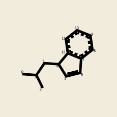 CC(C)CC1C=Cc2ccccc21